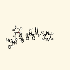 O=CN(O)C[C@H]1CC2CCCC23CC[C@@H](C(=O)NC(=O)NCCc2cnccn2)N3C1=O